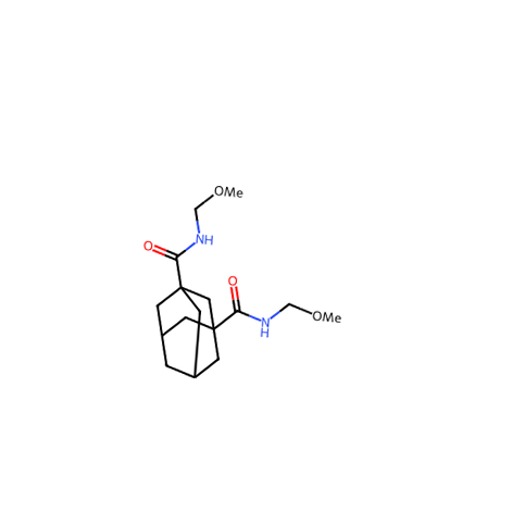 COCNC(=O)C12CC3CC(C1)CC(C(=O)NCOC)(C3)C2